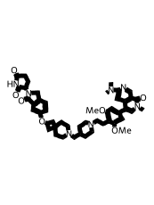 COc1cc(-c2cn(C)c(=O)c3cnc(N(C)C)cc23)cc(OC)c1CCN1CCC(CN2CCC3(CC2)CC(Oc2ccc4c(c2)C(=O)N(C2CCC(=O)NC2=O)C4)C3)CC1